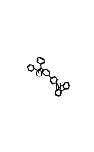 c1ccc(-c2oc3cc(-c4ccc(-n5c6ccccc6c6ccccc65)cc4)ccc3c2-c2ccccc2)cc1